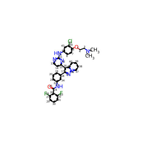 CN(C)CCOc1ccc(Nc2nccc(-c3c(-c4cccc(NC(=O)c5c(F)cccc5F)c4)nn4ccccc34)n2)cc1Cl